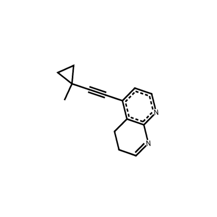 CC1(C#Cc2ccnc3c2CCC=N3)CC1